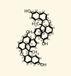 CC1(c2ccc(-c3ccc(C4(C)c5c(ccc6cc(O)ccc56)Oc5ccc6cc(O)ccc6c54)cc3)cc2)c2c(ccc3cc(O)ccc23)Oc2ccc3cc(O)ccc3c21